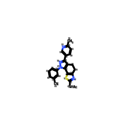 CC(=O)Nc1nc2c(s1)-c1c(c(-c3ccc(C)nc3)nn1-c1cccc(C#N)c1)CC2